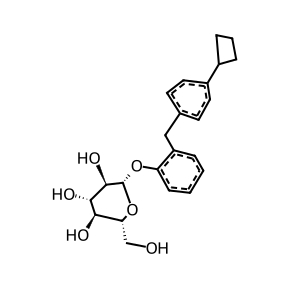 OC[C@H]1O[C@@H](Oc2ccccc2Cc2ccc(C3CCC3)cc2)[C@H](O)[C@@H](O)[C@@H]1O